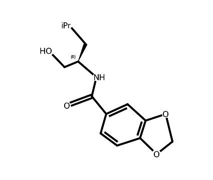 CC(C)C[C@H](CO)NC(=O)c1ccc2c(c1)OCO2